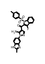 Cc1ccc(S(=O)(=O)n2c(C(=O)c3cnn(-c4ccc5[nH]c(C)nc5c4)c3N)c(F)c3ccccc32)cc1